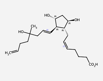 C=CCCC(C)(O)C/C=C/[C@@H]1[C@@H](C/C=C\CCCC(=O)O)[C@H](O)C[C@H]1O